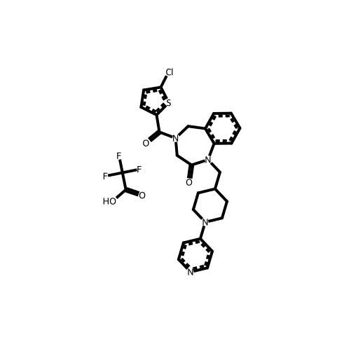 O=C(O)C(F)(F)F.O=C(c1ccc(Cl)s1)N1CC(=O)N(CC2CCN(c3ccncc3)CC2)c2ccccc2C1